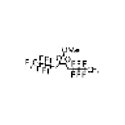 COC1OC(CC(F)(F)C(F)(F)C(F)(F)C(F)(F)F)C(CC(F)(F)C(F)(F)C(F)(F)C(F)(F)F)O1